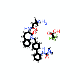 CN(C)C(=O)Nc1ccccc1-c1ccc(CN2C(=O)[C@H](NC(=O)CC(C)(C)N)CCc3ccccc32)cc1.O=C(O)C(F)(F)F